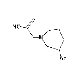 C=C(C#N)CN1CCCC(C(C)=O)C1